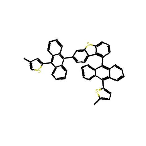 Cc1csc(-c2c3ccccc3c(-c3ccc4c(c3)sc3cccc(-c5c6ccccc6c(-c6ccc(C)s6)c6ccccc56)c34)c3ccccc23)c1